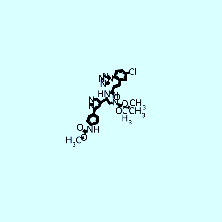 COC(=O)Nc1ccc(-c2cc(C(CNC(=O)OC(C)(C)C)NC(=O)C=Cc3cc(Cl)ccc3-n3cnnn3)cnn2)cc1